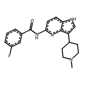 CN1CCC(c2c[nH]c3ccc(NC(=O)c4cccc(F)c4)nc23)CC1